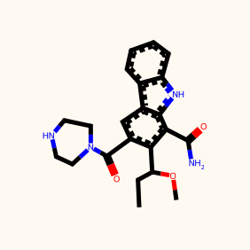 CCC(OC)c1c(C(=O)N2CCNCC2)cc2c([nH]c3ccccc32)c1C(N)=O